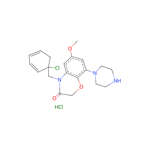 COc1cc(N2CCNCC2)c2c(c1)N(CC1(Cl)C=CC=CC1)C(=O)CO2.Cl